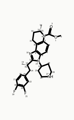 COC(=O)N1c2ccc3c(nc([C@@H](C)Cc4ccc(F)c(F)c4)n3C3CCNCC3)c2CC[C@@H]1C